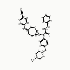 CN1CCN(Cc2ccc(N(C(=O)NCc3ccccc3)C3C4CCC(Nc5ccc(C#N)cn5)CCC43)cc2)CC1